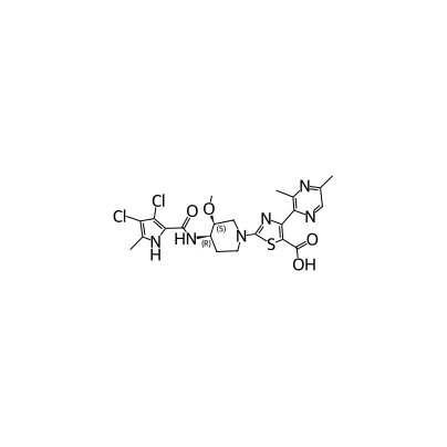 CO[C@H]1CN(c2nc(-c3ncc(C)nc3C)c(C(=O)O)s2)CC[C@H]1NC(=O)c1[nH]c(C)c(Cl)c1Cl